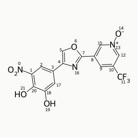 O=[N+]([O-])c1cc(-c2coc(-c3cc(C(F)(F)F)c[n+]([O-])c3)n2)cc(O)c1O